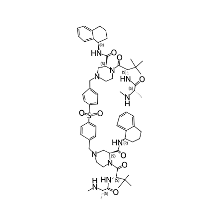 CN[C@@H](C)C(=O)N[C@H](C(=O)N1CCN(Cc2ccc(S(=O)(=O)c3ccc(CN4CCN(C(=O)[C@@H](NC(=O)[C@H](C)NC)C(C)(C)C)[C@H](C(=O)N[C@@H]5CCCc6ccccc65)C4)cc3)cc2)C[C@H]1C(=O)N[C@@H]1CCCc2ccccc21)C(C)(C)C